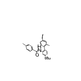 Cc1ccc(C(=O)Nc2cc(C(C)(C)C)ccc2-c2ccc(I)cc2C)cc1